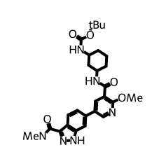 CNC(=O)c1n[nH]c2cc(-c3cnc(OC)c(C(=O)NC4CCCC(NC(=O)OC(C)(C)C)C4)c3)ccc12